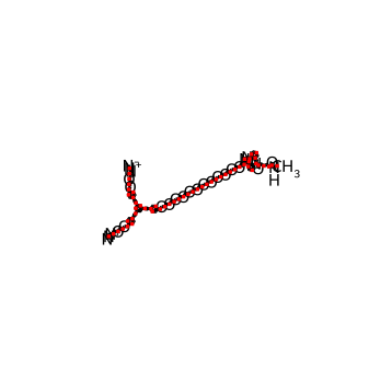 CNC(=O)CCCCC(=O)N1Cc2ccccc2-c2nnn(CCOCCOCCOCCOCCOCCOCCOCCOCCOCCOCCOCCOCc3ccc(C#Cc4cc(C#Cc5ccc(COCCOCCN=[N+]=[N-])cc5)cc(C#Cc5ccc(COCCOCCN=[N+]=[N-])cc5)c4)cc3)c2-c2ccccc21